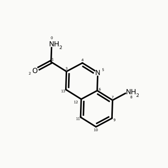 NC(=O)c1cnc2c(N)cccc2c1